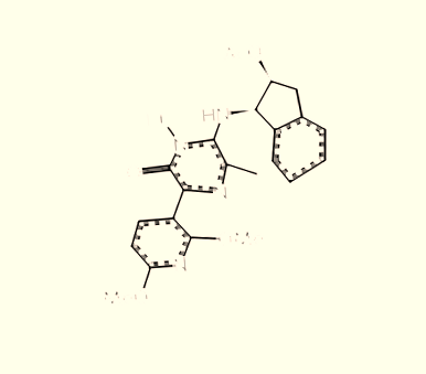 CCn1c(N[C@@H]2c3ccccc3C[C@@H]2OC(C)=O)c(C)nc(-c2ccc(OC)nc2OC)c1=O